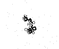 CCc1cc(-c2ccc(C(=O)NCC(=O)C3(N4C[C@H](Cl)[C@H]5OCC(=O)[C@H]54)CCCCC3)s2)ccn1